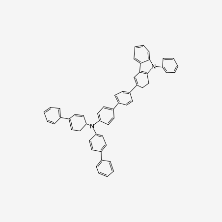 C1=CC(N(c2ccc(-c3ccccc3)cc2)c2ccc(-c3ccc(C4=Cc5c(n(-c6ccccc6)c6ccccc56)CC4)cc3)cc2)CC=C1c1ccccc1